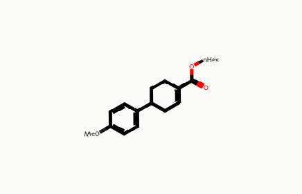 CCCCCCOC(=O)C1=CCC(c2ccc(OC)cc2)CC1